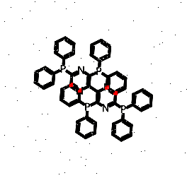 c1ccc(P(c2ccccc2)c2cnc(-c3ncc(P(c4ccccc4)c4ccccc4)nc3P(c3ccccc3)c3ccccc3)c(P(c3ccccc3)c3ccccc3)n2)cc1